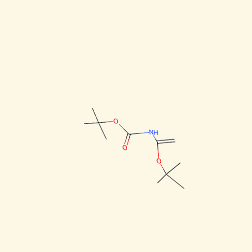 C=C(NC(=O)OC(C)(C)C)OC(C)(C)C